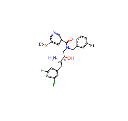 CCSc1cncc(C(=O)N(Cc2cccc(CC)c2)C[C@@H](O)[C@@H](N)Cc2cc(F)cc(F)c2)c1